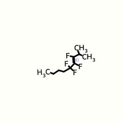 CCCCC(F)(F)/C(F)=C(\F)C(C)C